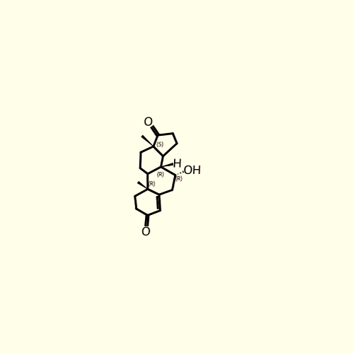 C[C@]12CCC(=O)C=C1C[C@@H](O)[C@@H]1C2CC[C@]2(C)C(=O)CCC12